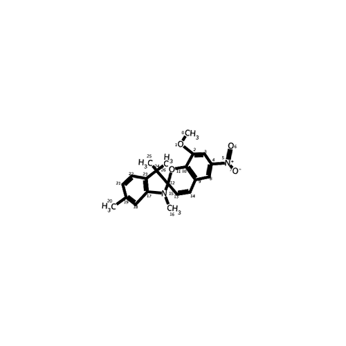 COc1cc([N+](=O)[O-])cc2c1OC1(C=C2)N(C)c2cc(C)ccc2C1(C)C